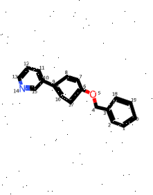 c1ccc(COc2ccc(-c3cccnc3)cc2)cc1